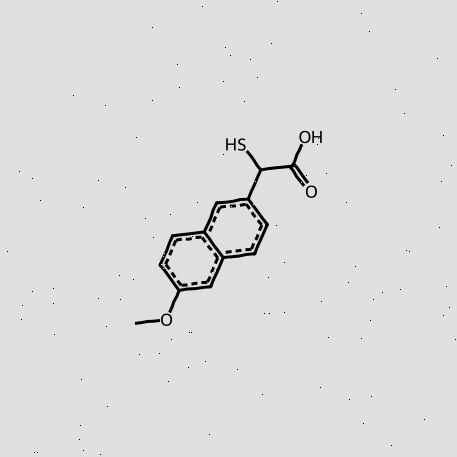 COc1ccc2cc(C(S)C(=O)O)ccc2c1